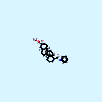 CCOC[C@@]1(O)CC[C@H]2[C@@H](CC[C@@H]3[C@@H]2CC[C@]2(C)[C@@H](C(=O)Nc4ccccc4)CCC[C@@H]32)C1